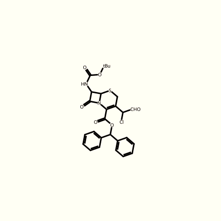 CC(C)(C)OC(=O)NC1C(=O)N2C(C(=O)OC(c3ccccc3)c3ccccc3)=C(C(Cl)C=O)CSC12